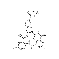 Cc1cc(C(C)Nc2ccc(Cl)nc2C(=O)O)c2nc(N3CCC4(CCN(C(=O)OC(C)(C)C)C4)C3)n(C)c(=O)c2c1